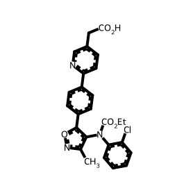 CCOC(=O)N(c1ccccc1Cl)c1c(C)noc1-c1ccc(-c2ccc(CC(=O)O)cn2)cc1